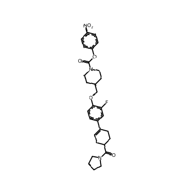 O=C(Oc1ccc([N+](=O)[O-])cc1)N1CCC(COc2ccc(C3=CCC(C(=O)N4CCCC4)CC3)cc2F)CC1